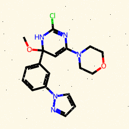 COC1(c2cccc(-n3cccn3)c2)C=C(N2CCOCC2)N=C(Cl)N1